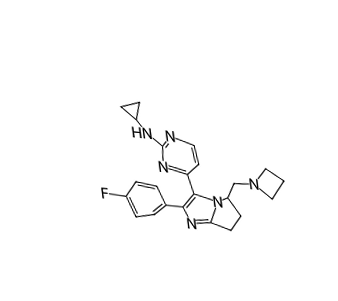 Fc1ccc(-c2nc3n(c2-c2ccnc(NC4CC4)n2)C(CN2CCC2)CC3)cc1